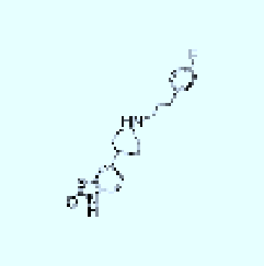 O=c1[nH]c2ccc(C3CCC(NCCCc4ccc(F)cc4)CC3)cc2s1